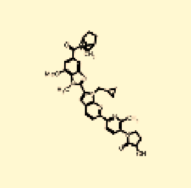 COc1cc(C(=O)N2CC3CCC2[C@@H]3C)cc2nc(-c3cc4ccc(-c5ccc(N6CCC(O)C6=O)c(C)n5)nc4n3CC3CC3)n(C)c12